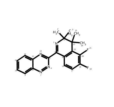 CC1(C)N=C(c2nnc3ccccc3n2)c2ccc(F)c(F)c2C1(C)C